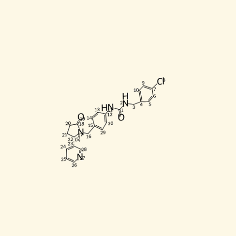 O=C(NCc1ccc(Cl)cc1)Nc1ccc(CN2C(=O)CC[C@H]2c2cccnc2)cc1